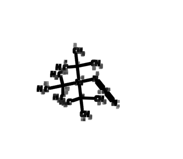 C[C](C)(C)[Sn]([N]=[N+]=[N-])([C](C)(C)C)[C](C)(C)C